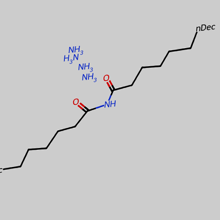 CCCCCCCCCCCCCCCC(=O)NC(=O)CCCCCCCCCCCCCCC.N.N.N.N